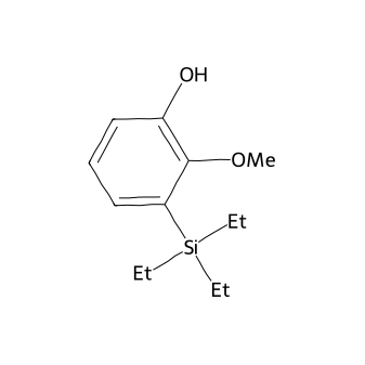 CC[Si](CC)(CC)c1cccc(O)c1OC